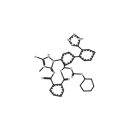 CCC1=S(C)C(=NC(=O)c2ccccc2C(=O)OC(C)OC(=O)OC2CCCCC2)N(c2ccc(-c3ccccc3-c3nnn[nH]3)cc2)N1